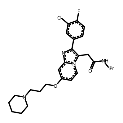 CC(C)NC(=O)Cc1c(-c2ccc(F)c(Cl)c2)nc2cc(OCCCN3CCCCC3)ccn12